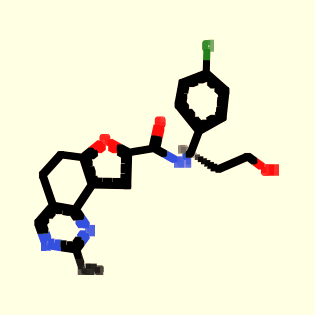 CNc1ncc2c(n1)-c1cc(C(=O)N[C@@H](CCO)c3ccc(Cl)cc3)oc1CC2